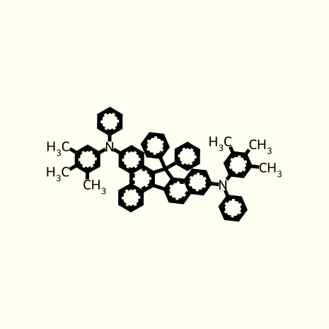 Cc1cc(N(c2ccccc2)c2ccc3c4c(ccc3c2)-c2c(c3ccc(N(c5ccccc5)c5cc(C)c(C)c(C)c5)cc3c3ccccc23)C4(c2ccccc2)c2ccccc2)cc(C)c1C